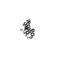 Cn1nnc(N(Cc2cc(C(F)(F)F)cc(C(F)(F)F)c2)Cc2cc3cc(F)c(F)cc3nc2N2CCC[C@@H]2C2CCC(CO)CC2)n1